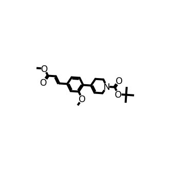 COC(=O)C=Cc1ccc(C2=CCN(C(=O)OC(C)(C)C)CC2)c(OC)c1